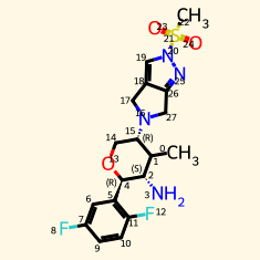 CC1[C@H](N)[C@@H](c2cc(F)ccc2F)OC[C@@H]1N1Cc2cn(S(C)(=O)=O)nc2C1